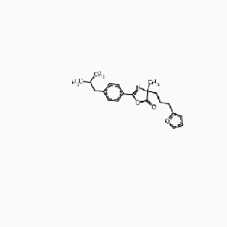 CC(C)Cc1ccc(C2=NC(C)(CCCc3ccco3)C(=O)O2)cc1